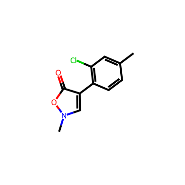 Cc1ccc(-c2cn(C)oc2=O)c(Cl)c1